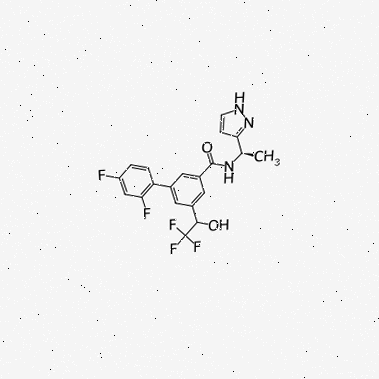 C[C@@H](NC(=O)c1cc(-c2ccc(F)cc2F)cc(C(O)C(F)(F)F)c1)c1cc[nH]n1